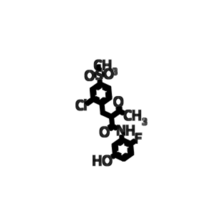 CC(=O)C(Cc1ccc(S(C)(=O)=O)cc1Cl)C(=O)Nc1cc(O)ccc1F